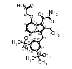 CCc1c(C(=O)C(N)=O)c2c(OCC(=O)O)cccn2c1Cc1cc(C(C)(C)C)cc(C(C)(C)C)c1